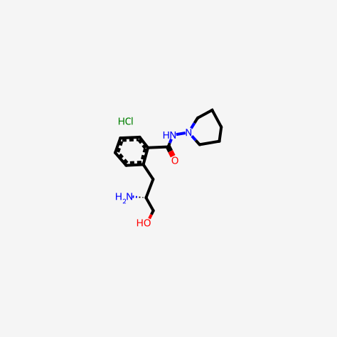 Cl.N[C@@H](CO)Cc1ccccc1C(=O)NN1CCCCC1